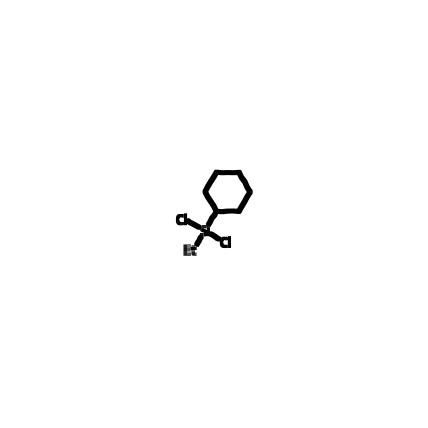 CC[Si](Cl)(Cl)C1CCCCC1